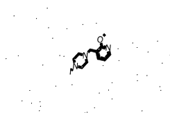 COc1ncccc1CN1CCN(I)CC1